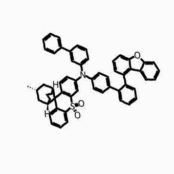 C[C@@H]1C[C@H]2CCC[C@@H](C1)C21c2ccccc2S(=O)(=O)c2cc(N(c3ccc(-c4ccccc4-c4cccc5oc6ccccc6c45)cc3)c3cccc(-c4ccccc4)c3)ccc21